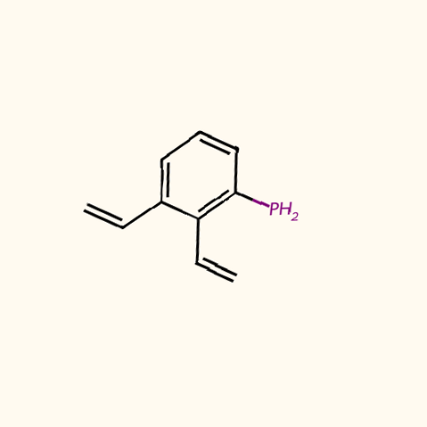 C=Cc1cccc(P)c1C=C